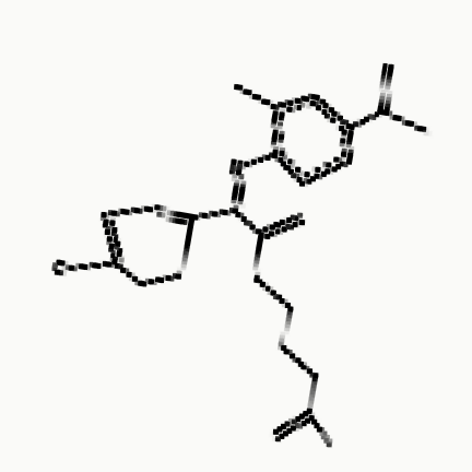 C=C(C)CCCCC(=C)/C(=N\c1ccc(C(=C)C)cc1C)C1=CC=C(Cl)CC1